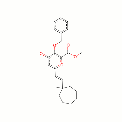 COC(=O)c1oc(C=CC2(C)CCCCCC2)cc(=O)c1OCc1ccccc1